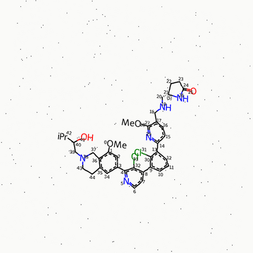 COc1cc(-c2nccc(-c3cccc(-c4ccc(CNC[C@@H]5CCC(=O)N5)c(OC)n4)c3Cl)c2Cl)cc2c1CN(CC(O)C(C)C)CC2